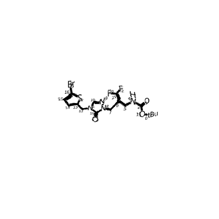 CC(C)(C)OC(=O)NCC(Cn1ncn(Cc2ccc(Br)s2)c1=O)=C(F)F